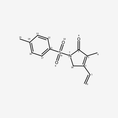 C=CC1=C(C)C(=O)N(S(=O)(=O)c2ccc(C)cc2)C1